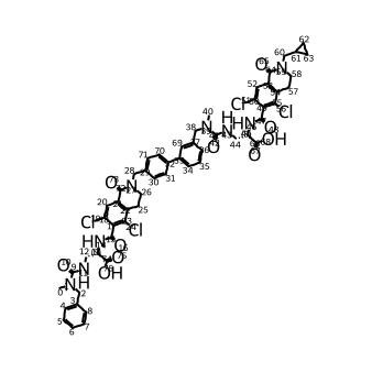 CN(Cc1ccccc1)C(=O)NC[C@H](NC(=O)c1c(Cl)cc2c(c1Cl)CCN(Cc1ccc(-c3cccc(CN(C)C(=O)NC[C@H](NC(=O)c4c(Cl)cc5c(c4Cl)CCN(CC4CC4)C5=O)C(=O)O)c3)cc1)C2=O)C(=O)O